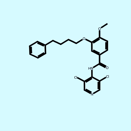 COc1ccc(C(=O)Nc2c(Cl)cncc2Cl)cc1OCCCCc1ccccc1